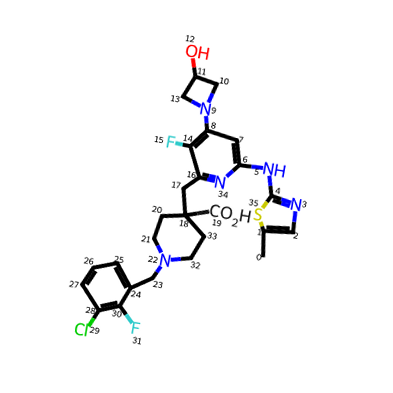 Cc1cnc(Nc2cc(N3CC(O)C3)c(F)c(CC3(C(=O)O)CCN(Cc4cccc(Cl)c4F)CC3)n2)s1